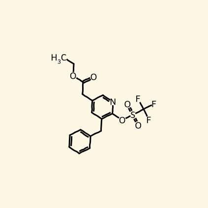 CCOC(=O)Cc1cnc(OS(=O)(=O)C(F)(F)F)c(Cc2ccccc2)c1